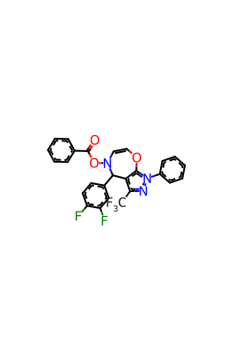 O=C(ON1C=COc2c(c(C(F)(F)F)nn2-c2ccccc2)C1c1ccc(F)c(F)c1)c1ccccc1